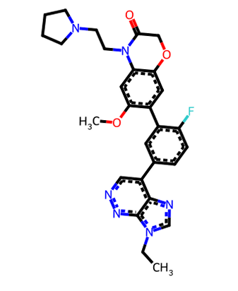 CCn1cnc2c(-c3ccc(F)c(-c4cc5c(cc4OC)N(CCN4CCCC4)C(=O)CO5)c3)cnnc21